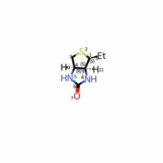 CC[C@@H]1SC[C@@H]2NC(=O)N[C@@H]21